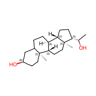 CC(O)[C@H]1CC[C@H]2[C@@H]3CCC4C[C@H](O)CC[C@]4(C)[C@H]3CC[C@]12C